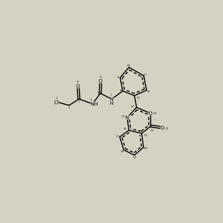 O=C(CCl)NC(=O)Nc1ccccc1-c1nc2ccccc2c(=O)o1